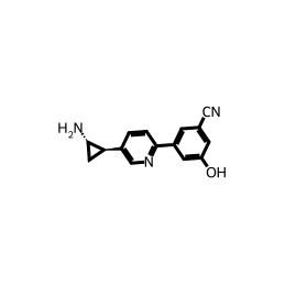 N#Cc1cc(O)cc(-c2ccc([C@H]3C[C@@H]3N)cn2)c1